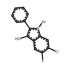 CC(=O)n1c(-c2ccccc2)c(O)c2cc(F)c(Cl)cc21